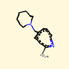 O=C(O)c1cc(N2CCCCC2)ccn1